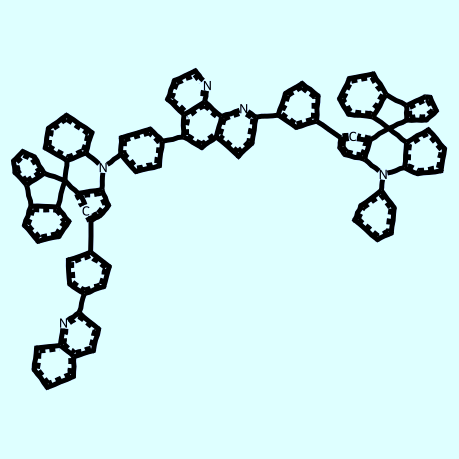 c1ccc(N2c3ccccc3C3(c4ccccc4-c4ccccc43)c3cc(-c4cccc(-c5ccc6cc(-c7ccc(N8c9ccccc9C9(c%10ccccc%10-c%10ccccc%109)c9cc(-c%10ccc(-c%11ccc%12ccccc%12n%11)cc%10)ccc98)cc7)c7cccnc7c6n5)c4)ccc32)cc1